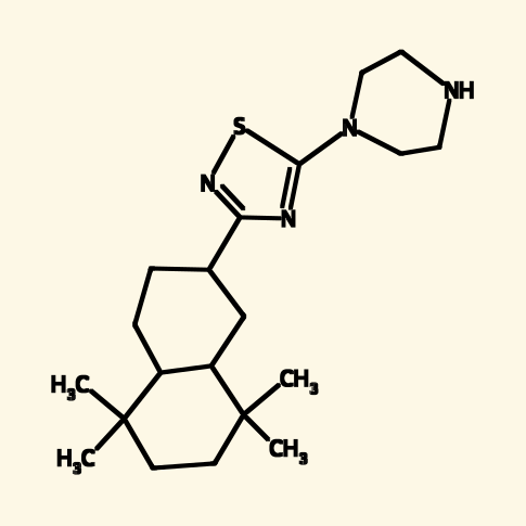 CC1(C)CCC(C)(C)C2CC(c3nsc(N4CCNCC4)n3)CCC21